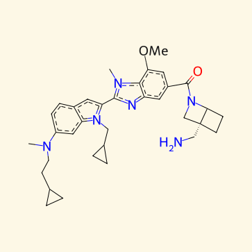 COc1cc(C(=O)N2C[C@]3(CN)CCC23)cc2nc(-c3cc4ccc(N(C)CCC5CC5)cc4n3CC3CC3)n(C)c12